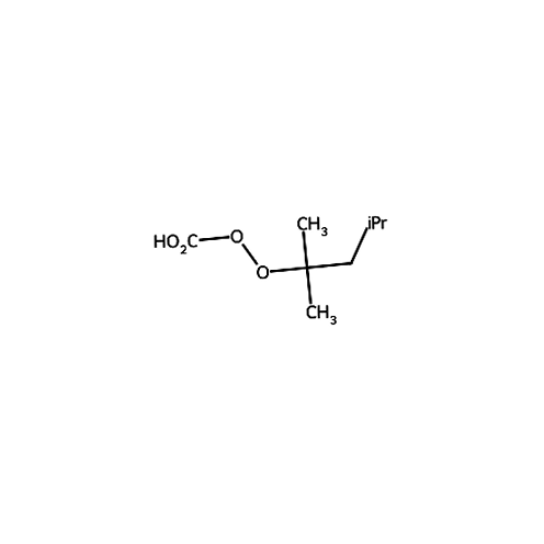 CC(C)CC(C)(C)OOC(=O)O